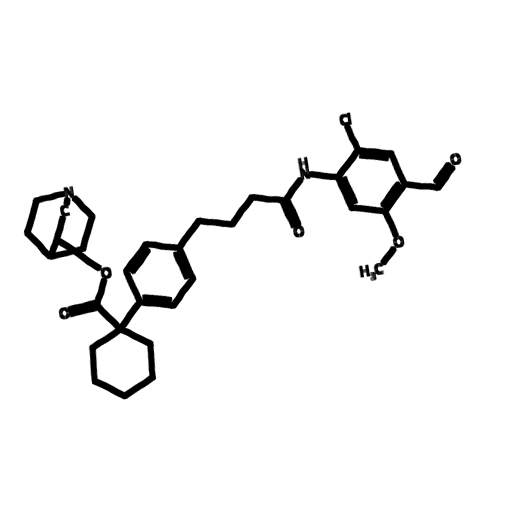 COc1cc(NC(=O)CCCc2ccc(C3(C(=O)OC4CN5CCC4CC5)CCCCC3)cc2)c(Cl)cc1C=O